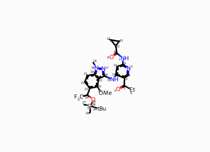 CCC(=O)c1cnc(NC(=O)C2CC2)cc1Nc1nn(C)c2ccc(C(O[Si](C)(C)C(C)(C)C)C(F)(F)F)c(OC)c12